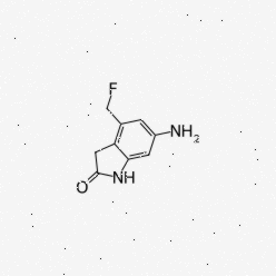 Nc1cc(CF)c2c(c1)NC(=O)C2